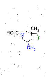 CC1(CF)CC(N)CN(C(=O)O)C1